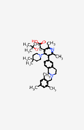 Cc1cc(C)c(CN2CCc3cc(-c4c(C)nc(C)c([C@H](OC(C)(C)C)C(=O)O)c4N4CCC(C)(C)CC4)ccc3C2)c(C)c1